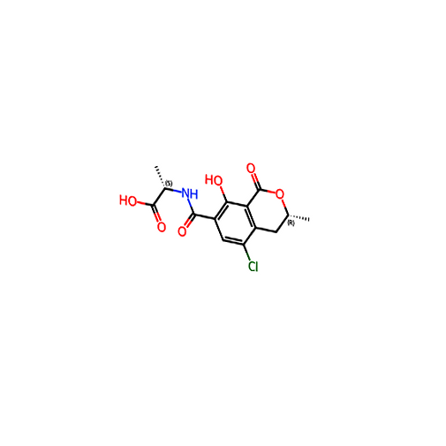 C[C@@H]1Cc2c(Cl)cc(C(=O)N[C@@H](C)C(=O)O)c(O)c2C(=O)O1